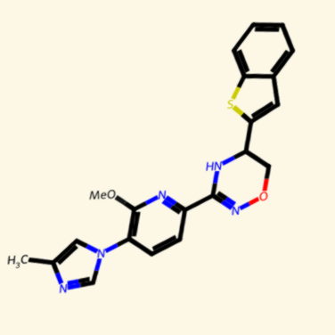 COc1nc(C2=NOCC(c3cc4ccccc4s3)N2)ccc1-n1cnc(C)c1